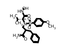 COc1ccc(S(=O)(=O)N(CC(Cc2ccccc2)C(N)=O)[C@@H](C(=O)NO)C(C)C)cc1